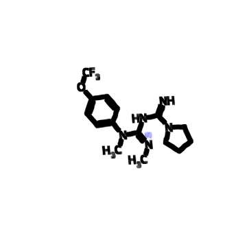 C/N=C(/NC(=N)N1CCCC1)N(C)c1ccc(OC(F)(F)F)cc1